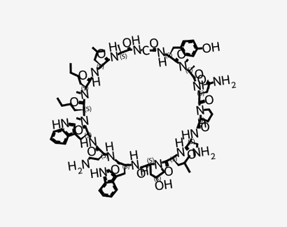 CCCC[C@H]1C(=O)N(C)[C@@H](CCCC)C(=O)N[C@@H](CC(C)C)C(=O)N[C@@H](C)C(=O)NCC(=O)N[C@@H](Cc2ccc(O)cc2)C(=O)N(C)[C@@H](C)C(=O)N[C@@H](CC(N)=O)C(=O)N2CCC[C@H]2C(=O)N[C@@H](CN)C(=O)N[C@@H](CC(C)C)C(=O)N2C[C@H](O)C[C@H]2C(=O)N[C@@H](Cc2c[nH]c3ccccc23)C(=O)N[C@@H](CCN)C(=O)N[C@@H](Cc2c[nH]c3ccccc23)C(=O)N1C